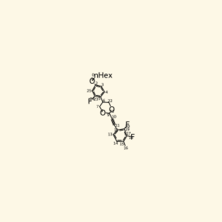 CCCCCCOc1ccc(C2COC(C#Cc3ccc(C)c(F)c3F)OC2)c(F)c1